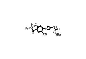 Cc1nc(N2CC(NC(=O)OC(C)(C)C)C2)c(C#N)cc1C(=O)OC(C)C